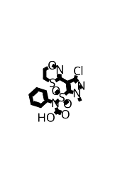 Cn1nc(Cl)c(C2=NOCCS2)c1S(=O)(=O)N(C(=O)O)c1ccccc1